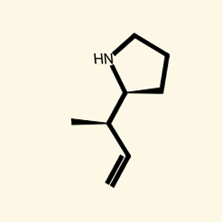 C=C[C@@H](C)[C@@H]1CCCN1